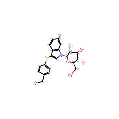 CCc1ccc(Sc2cn([C@@H]3O[C@H](CO)[C@@H](O)[C@H](O)[C@H]3O)c3cc(Cl)ccc23)cc1